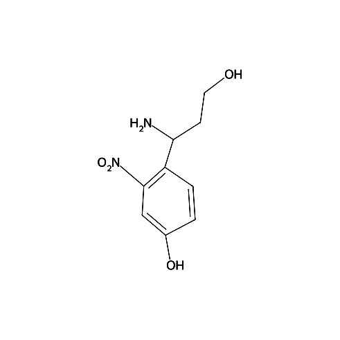 NC(CCO)c1ccc(O)cc1[N+](=O)[O-]